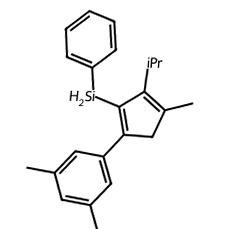 CC1=C(C(C)C)C([SiH2]c2ccccc2)=C(c2cc(C)cc(C)c2)C1